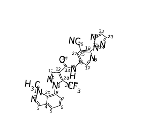 Cn1ncc2cccc(-n3ncc(C(=O)Nc4cnc(-n5nccn5)c(C#N)c4)c3C(F)(F)F)c21